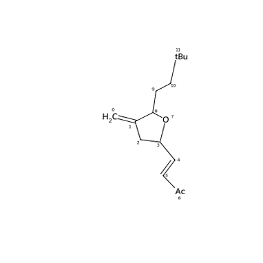 C=C1CC(C=CC(C)=O)OC1CCC(C)(C)C